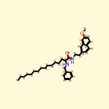 CCCCCCCCCCCCCCC(NCc1ccccc1)C(=O)NCCc1ccc2ccc(OC)cc2c1